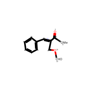 COC(=O)/C(=C/c1ccccc1)COC=O